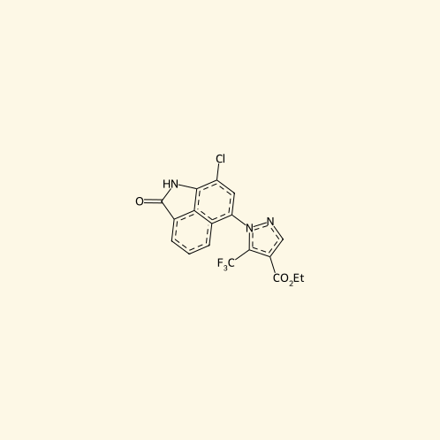 CCOC(=O)c1cnn(-c2cc(Cl)c3c4c(cccc24)C(=O)N3)c1C(F)(F)F